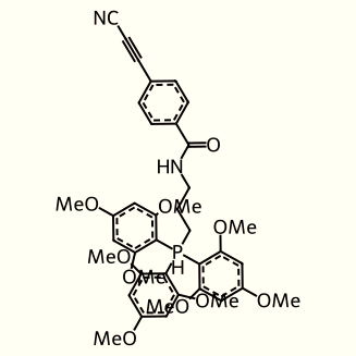 COc1cc(OC)c([PH](CCCNC(=O)c2ccc(C#CC#N)cc2)(c2c(OC)cc(OC)cc2OC)c2c(OC)cc(OC)cc2OC)c(OC)c1